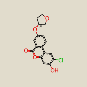 O=c1oc2cc(O)c(Cl)cc2c2ccc(O[C@H]3CCOC3)cc12